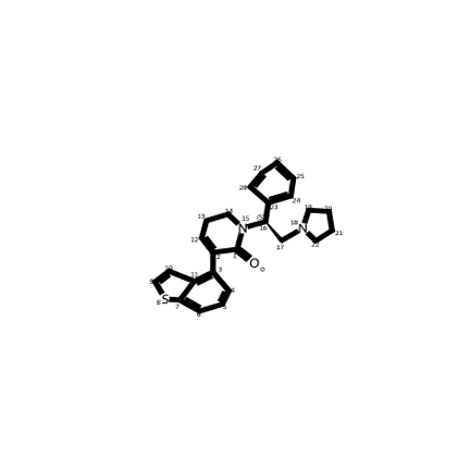 O=C1C(c2cccc3sccc23)=CCCN1[C@H](CN1CCCC1)c1ccccc1